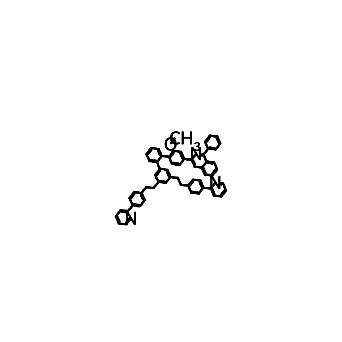 COc1cc(-c2cc3ccccc3c(-c3ccccc3)n2)ccc1-c1ccccc1-c1cc(CCc2ccc(-c3ccccn3)cc2)cc(CCc2ccc(-c3ccccn3)cc2)c1